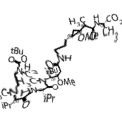 CC[C@H](C)[C@@H]([C@@H](CC(=O)NCCC[C@@H]1C[C@@]1(OC)[C@@H](C)C(=O)N[C@@H](C)C(=O)O)OC)N(C)C(=O)[C@@H](NC(=O)[C@H](C(C)C)N(C)CCN(C)C(=O)OC(C)(C)C)C(C)C